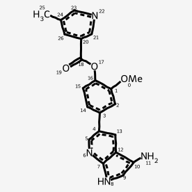 COc1cc(-c2cnc3[nH]cc(N)c3c2)ccc1OC(=O)c1cncc(C)c1